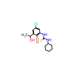 CC(O)c1cc(Cl)cc(NC(=S)NC2CCCCC2)c1O